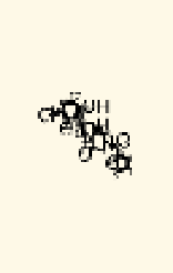 O=C([C@H]1CCCO1)N1CC(=O)N2C[C@@H](c3c(O)ccc(Cl)c3Cl)C[C@H]2C1